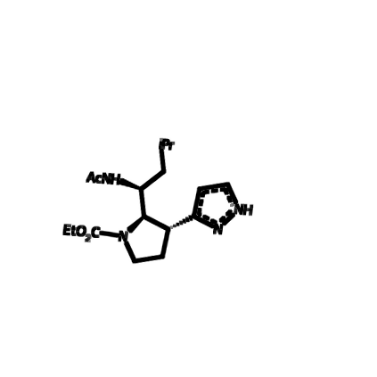 CCOC(=O)N1CC[C@@H](c2cc[nH]n2)[C@@H]1[C@H](CC(C)C)NC(C)=O